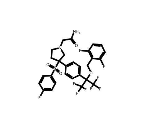 NC(=O)CN1CCC(c2ccc(C(OCc3c(F)cccc3F)(C(F)(F)F)C(F)(F)F)cc2)(S(=O)(=O)c2ccc(F)cc2)C1